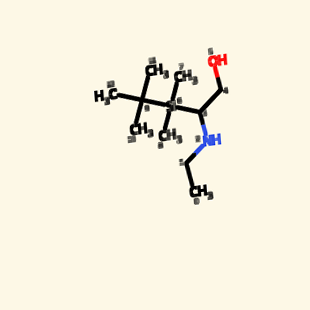 CCNC(CO)[Si](C)(C)C(C)(C)C